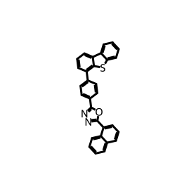 c1ccc2c(-c3nnc(-c4ccc(-c5cccc6c5sc5ccccc56)cc4)o3)cccc2c1